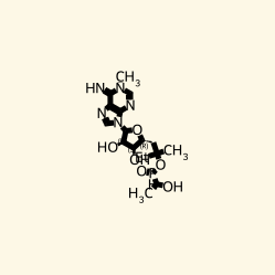 CCC(C)(C[C@H]1OC(n2cnc3c(=N)n(C)cnc32)[C@H](O)[C@@H]1O)O[PH](=O)C(C)O